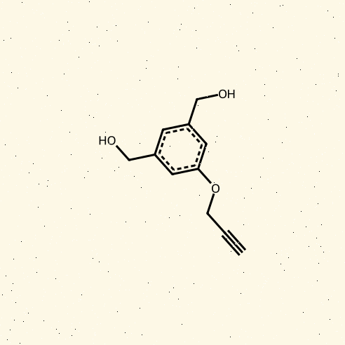 C#CCOc1cc(CO)cc(CO)c1